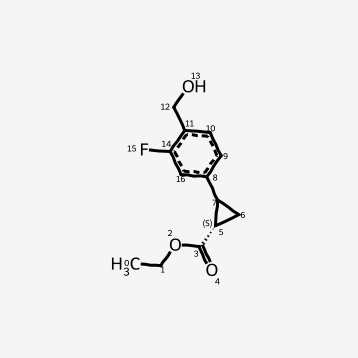 CCOC(=O)[C@H]1CC1c1ccc(CO)c(F)c1